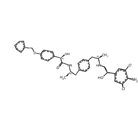 C[C@H](Cc1ccc(C[C@@H](C)NC(=O)[C@H](O)c2ccc(OCc3ccccc3)cc2)cc1)NCC(O)c1cc(Cl)c(N)c(Cl)c1